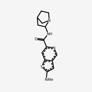 CNc1cc2cnc(C(=O)NC3CC4CCN3C4)cc2s1